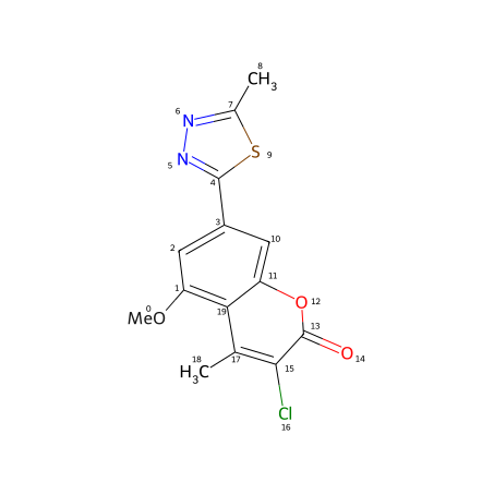 COc1cc(-c2nnc(C)s2)cc2oc(=O)c(Cl)c(C)c12